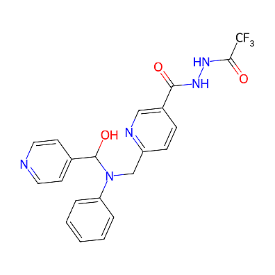 O=C(NNC(=O)C(F)(F)F)c1ccc(CN(c2ccccc2)C(O)c2ccncc2)nc1